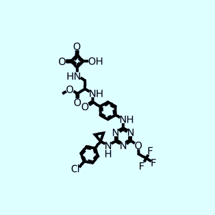 COC(=O)C(CNc1c(O)c(=O)c1=O)NC(=O)c1ccc(Nc2nc(NC3(c4ccc(Cl)cc4)CC3)nc(OCC(F)(F)F)n2)cc1